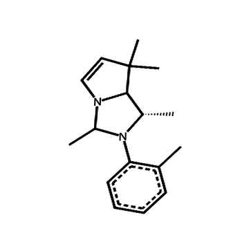 Cc1ccccc1N1C(C)N2C=CC(C)(C)C2[C@@H]1C